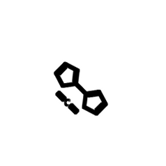 C1=CCC(C2=CC=CC2)=C1.C=C=C